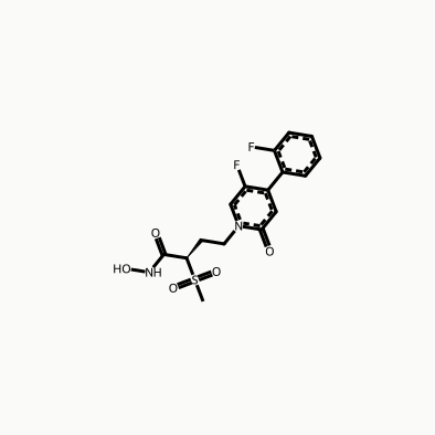 CS(=O)(=O)[C@H](CCn1cc(F)c(-c2ccccc2F)cc1=O)C(=O)NO